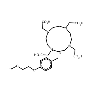 CCOCCOc1ccc(C[C@H]2CN(CC(=O)O)CCN(CC(=O)O)CCN(CC(=O)O)CCN2CC(=O)O)cc1